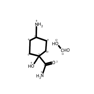 NC(=O)C1(O)CCC(N)CC1.O=CO